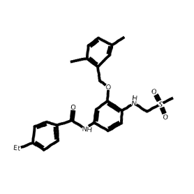 CCc1ccc(C(=O)Nc2ccc(NCS(C)(=O)=O)c(OCc3cc(C)ccc3C)c2)cc1